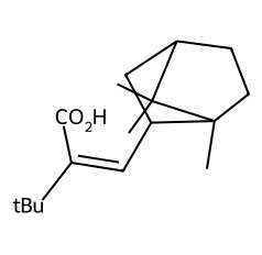 CC(C)(C)C(=CC1CC2CCC1(C)C2(C)C)C(=O)O